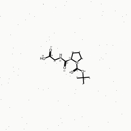 CC(C)(C)OC(=O)N1CCC[C@@H]1C(=O)NCC(=O)O